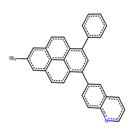 CC(C)(C)c1cc2ccc3c(-c4ccccc4)cc(-c4ccc5ncccc5c4)c4ccc(c1)c2c34